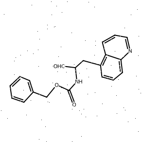 O=[C]C(Cc1cccc2ncccc12)NC(=O)OCc1ccccc1